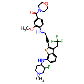 COc1cc(C(=O)N2CCOCC2)ccc1NCC#Cc1sc2c(NC3CCN(C)CC3F)cccc2c1CC(F)(F)F